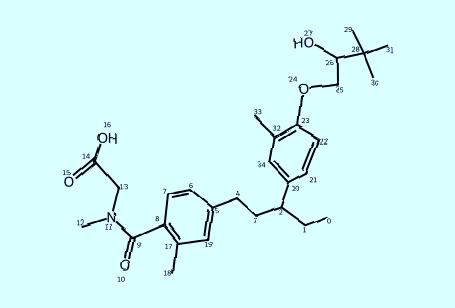 CCC(CCc1ccc(C(=O)N(C)CC(=O)O)c(C)c1)c1ccc(OCC(O)C(C)(C)C)c(C)c1